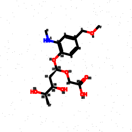 CNc1cc(COC)ccc1O[C@@H](C[C@@H](O)[C@@H](C)O)OCC(=O)O